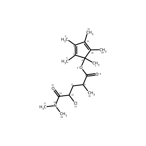 CC1=C(C)C(C)(OC(=O)C(C)CC(Cl)C(=O)N(C)C)C(C)=C1C